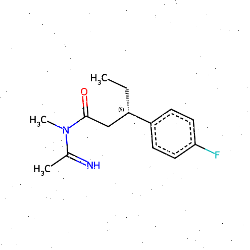 CC[C@@H](CC(=O)N(C)C(C)=N)c1ccc(F)cc1